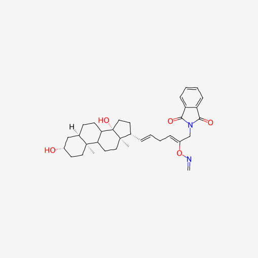 C=NO/C(=C\C/C=C/[C@H]1CC[C@]2(O)C3CC[C@@H]4C[C@@H](O)CC[C@]4(C)C3CC[C@]12C)CN1C(=O)c2ccccc2C1=O